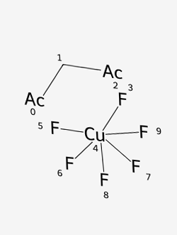 CC(=O)CC(C)=O.[F][Cu]([F])([F])([F])([F])[F]